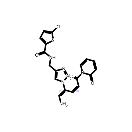 C=C(/C=C\C(=C/N)n1cc(CNC(=O)c2ccc(Cl)s2)nn1)n1ccccc1=O